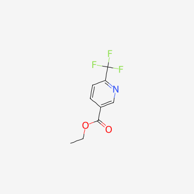 CCOC(=O)c1ccc(C(F)(F)F)nc1